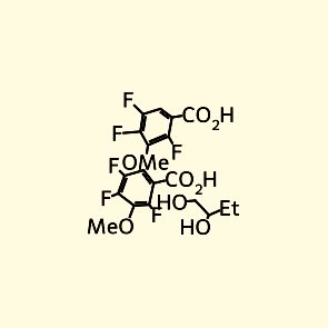 CCC(O)CO.COc1c(F)c(F)cc(C(=O)O)c1F.COc1c(F)c(F)cc(C(=O)O)c1F